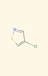 Clc1cnsc1